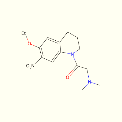 CCOc1cc2c(cc1[N+](=O)[O-])N(C(=O)CN(C)C)CCC2